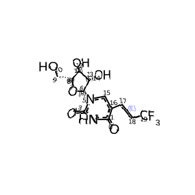 O=c1[nH]c(=O)n([C@@H]2O[C@H](CO)[C@@H](O)[C@@H]2O)cc1/C=C/C(F)(F)F